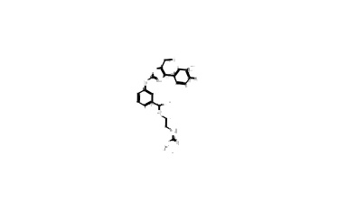 CC(C)Cc1sc(Nc2cccc(C(O)NCCNC(=O)OC(C)(C)C)c2)nc1-c1ccc(Cl)c(Cl)c1